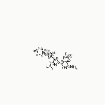 CC(C)Cc1nc(-c2cnc(N)c(OC(F)(F)F)c2)cn1[C@]12C3C(N4CCN(C)CC4)C[C@@H]1[C@H]32